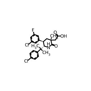 CC(C)(c1ccc(Cl)cc1)[C@H]1NC(=O)[C@@](C)(CC(=O)O)C[C@@H]1c1cc(F)cc(Cl)c1